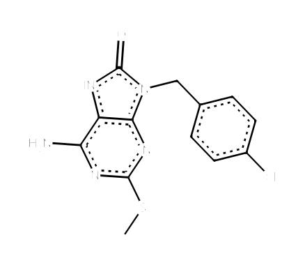 CSc1nc(N)c2[nH]c(=O)n(Cc3ccc(Cl)cc3)c2n1